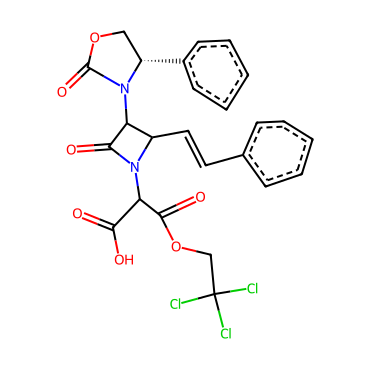 O=C(O)C(C(=O)OCC(Cl)(Cl)Cl)N1C(=O)C(N2C(=O)OC[C@@H]2c2ccccc2)C1C=Cc1ccccc1